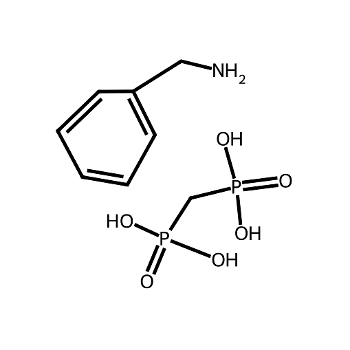 NCc1ccccc1.O=P(O)(O)CP(=O)(O)O